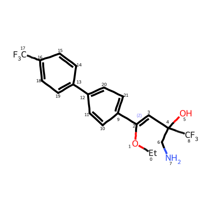 CCO/C(=C\C(O)(CN)C(F)(F)F)c1ccc(-c2ccc(C(F)(F)F)cc2)cc1